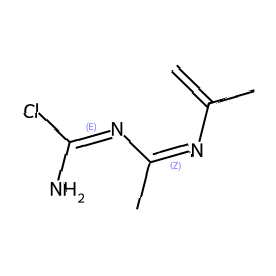 C=C(C)/N=C(C)\N=C(/N)Cl